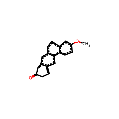 COc1ccc2c(ccc3cc4c(cc32)=CCC(=O)C=4)c1